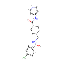 O=C(NCC1CCC(C(=O)Nc2ccncc2)CC1)c1ccc(Cl)cc1